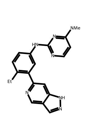 CCc1ccc(Nc2nccc(NC)n2)cc1-c1cc2[nH]ncc2cn1